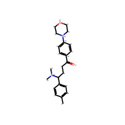 Cc1ccc(C(CCC(=O)c2ccc(N3CCOCC3)cc2)N(C)C)cc1